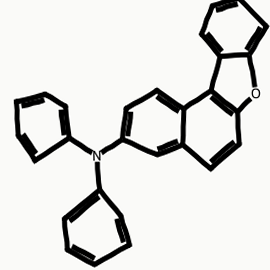 c1ccc(N(c2ccccc2)c2ccc3c(ccc4oc5ccccc5c43)c2)cc1